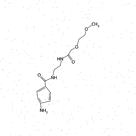 COCCOCC(=O)NCCNC(=O)c1ccc(N)cc1